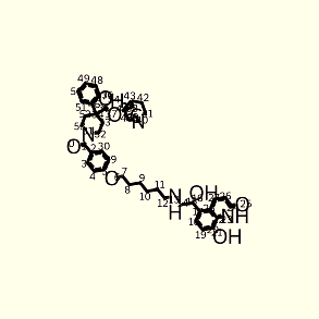 O=C(c1ccc(OCCCCCCNC[C@H](O)c2ccc(O)c3[nH]c(=O)ccc23)cc1)N1CCC(C(=O)O[C@H]2CN3CCC2CC3)(c2ccccc2)CC1